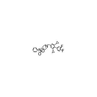 O=C1OC2(CCN(Cc3cc(C4CC4)c(-c4ccc(F)c(F)c4)c(C4CC4)c3)CC2)CN1c1ccccc1